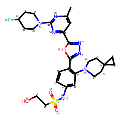 Cc1cc(-c2nnc(-c3ccc(NS(=O)(=O)CCO)cc3N3CCC4(CC3)CC4)o2)nc(N2CCC(F)CC2)n1